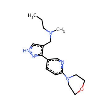 CCCN(C)Cc1c[nH]nc1-c1ccc(N2CCOCC2)nc1